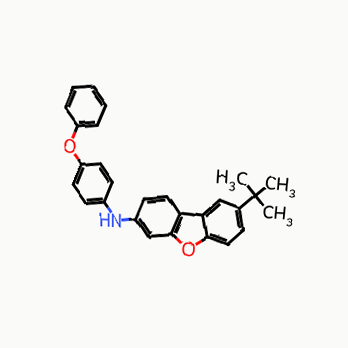 CC(C)(C)c1ccc2oc3cc(Nc4ccc(Oc5ccccc5)cc4)ccc3c2c1